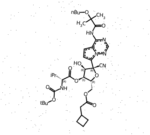 CCCCOC(C)(C)C(=O)Nc1ncnn2c([C@]3(C#N)O[C@H](COC(=O)CC4CCC4)[C@@H](OC(=O)[C@H](NC(=O)OC(C)(C)C)C(C)C)[C@H]3O)ccc12